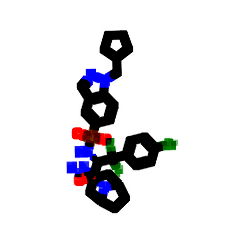 NC1CC2CCC(C1)N2C(=O)[C@H](NS(=O)(=O)c1ccc2c(cnn2CC2CCCC2)c1)C(F)(F)c1ccc(Br)cc1